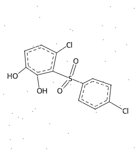 O=S(=O)(c1ccc(Cl)cc1)c1c(Cl)ccc(O)c1O